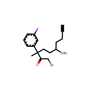 C#CCCC(CCC(C)(C(=O)CBr)c1cccc(I)c1)OC(C)=O